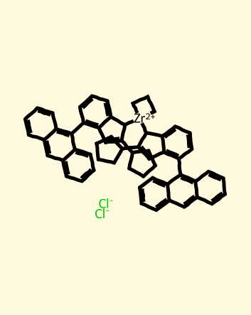 C1=C(C2CCCC2)[CH]([Zr+2]2([CH]3C(C4CCCC4)=Cc4c(-c5c6ccccc6cc6ccccc56)cccc43)[CH2]C[CH2]2)c2cccc(-c3c4ccccc4cc4ccccc34)c21.[Cl-].[Cl-]